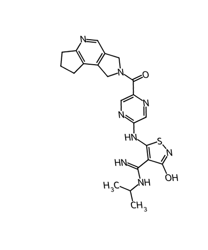 CC(C)NC(=N)c1c(O)nsc1Nc1cnc(C(=O)N2Cc3cnc4c(c3C2)CCC4)cn1